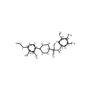 CCCc1ccc(C2CCC(C(F)(F)Oc3cc(F)c(F)c(F)c3)CC2)c(F)c1F